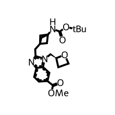 COC(=O)c1ccc2nc(CC34CC(NC(=O)OC(C)(C)C)(C3)C4)n(C[C@@H]3CCO3)c2c1